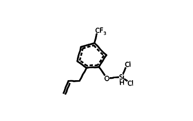 C=CCc1ccc(C(F)(F)F)cc1O[SiH](Cl)Cl